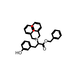 O=C(OCc1ccccc1)C(Cc1cccc(O)c1)N(Cc1ccccc1)Cc1ccccc1